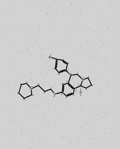 Brc1ccc([C@H]2CN3CCC[C@H]3c3ccc(OCCCN4CCCCC4)cc32)cc1